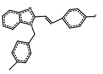 Cc1ccc(Cn2c(C=Cc3ccc(F)cc3)nc3ccccc32)cc1